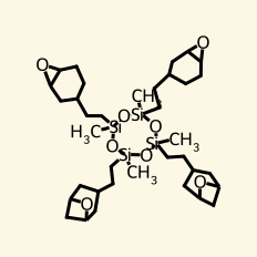 C[Si]1(CCC2CC3CC(C2)O3)O[Si](C)(CCC2CC3CC(C2)O3)O[Si](C)(CCC2CCC3OC3C2)O[Si](C)(CCC2CCC3OC3C2)O1